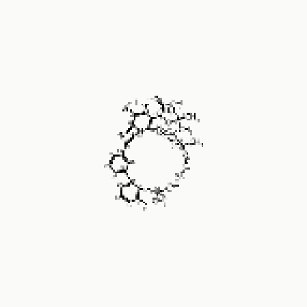 Cc1c([C@H](OC(C)(C)C)C(=O)O)c2n3cc(nc3c1Br)-c1cccc(c1)-c1cccc(F)c1O[C@@H](C)CCCCOC1(C)CCN2CC1